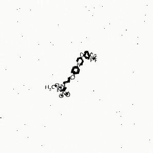 COc1nc([N+](=O)[O-])cn1CCCOc1ccc(N2CCC(Oc3ccc(OC(F)(F)F)cc3)CC2)cc1